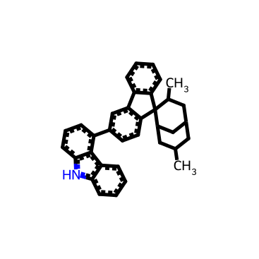 CC1CC2CC(C)C3(c4ccccc4-c4cc(-c5cccc6[nH]c7ccccc7c56)ccc43)C(C1)C2